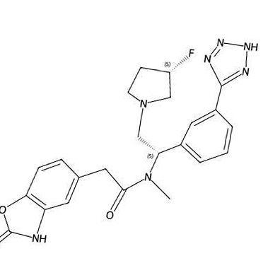 CN(C(=O)Cc1ccc2oc(=O)[nH]c2c1)[C@H](CN1CC[C@H](F)C1)c1cccc(-c2nn[nH]n2)c1